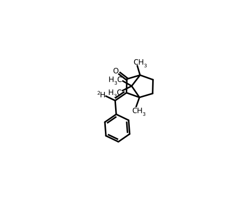 [2H]C(=C1C(=O)C2(C)CCC1(C)C2(C)C)c1ccccc1